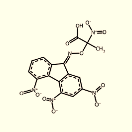 CC(ON=C1c2cccc([N+](=O)[O-])c2-c2c1cc([N+](=O)[O-])cc2[N+](=O)[O-])(C(=O)O)[N+](=O)[O-]